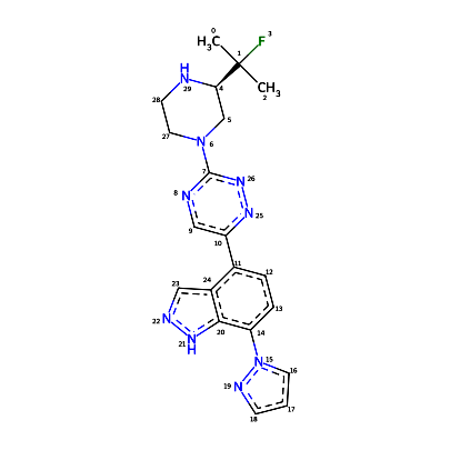 CC(C)(F)[C@H]1CN(c2ncc(-c3ccc(-n4cccn4)c4[nH]ncc34)nn2)CCN1